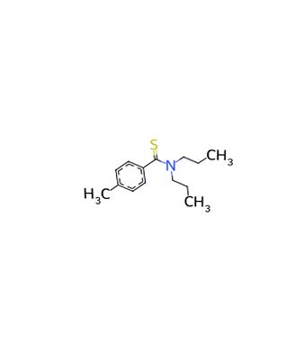 CCCN(CCC)C(=S)c1ccc(C)cc1